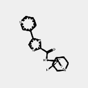 O=C(N[C@H]1CN2CCC1CC2)c1ncc(-c2cccnc2)s1